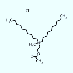 CCCCCCCCCC[N+](C)(CCCCCCCCCC)CCOC(C)=O.[Cl-]